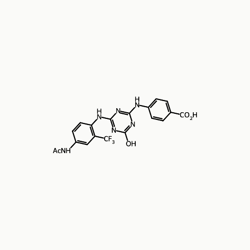 CC(=O)Nc1ccc(Nc2nc(O)nc(Nc3ccc(C(=O)O)cc3)n2)c(C(F)(F)F)c1